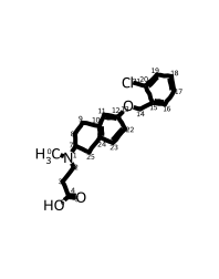 CN(CCC(=O)O)C1CCc2cc(OCc3ccccc3Cl)ccc2C1